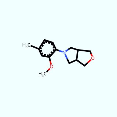 COc1cc(C)ccc1N1CC2COCC2C1